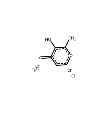 Cc1occc(=O)c1O.[Cl-].[Cl-].[Cl-].[Fe+3]